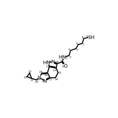 O=C(NCCCCCCS)c1n[nH]c2c1CCc1nn(CC3CC3)cc1-2